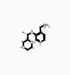 C[C@H](Oc1cnccc1CN)C1COCCO1